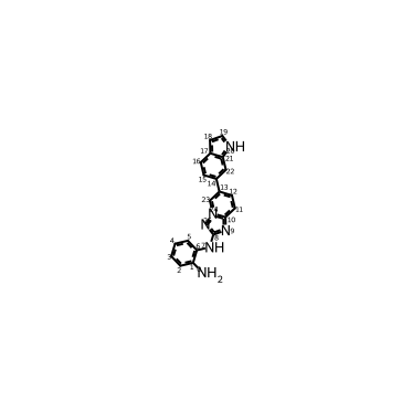 Nc1ccccc1Nc1nc2ccc(-c3ccc4cc[nH]c4c3)cn2n1